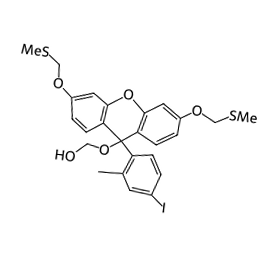 CSCOc1ccc2c(c1)Oc1cc(OCSC)ccc1C2(OCO)c1ccc(I)cc1C